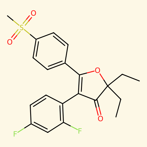 CCC1(CC)OC(c2ccc(S(C)(=O)=O)cc2)=C(c2ccc(F)cc2F)C1=O